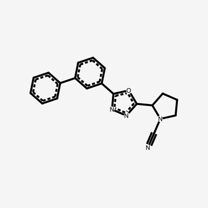 N#CN1CCCC1c1nnc(-c2cccc(-c3ccccc3)c2)o1